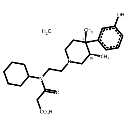 C[C@H]1CN(CCN(C(=O)CC(=O)O)C2CCCCC2)CC[C@]1(C)c1cccc(O)c1.O